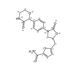 NC(=O)c1ccc(CC2CN(c3ccc(C4OCCNC4=O)cc3)C(=O)O2)s1